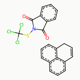 C1=Cc2cccc3cccc(c23)C1.O=C1c2ccccc2C(=O)N1SC(Cl)(Cl)Cl